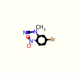 CN(C#N)c1cc(Br)ccc1[N+](=O)[O-]